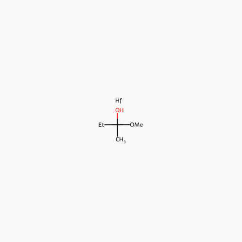 CCC(C)(O)OC.[Hf]